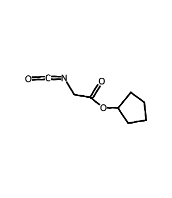 O=C=NCC(=O)OC1CCCC1